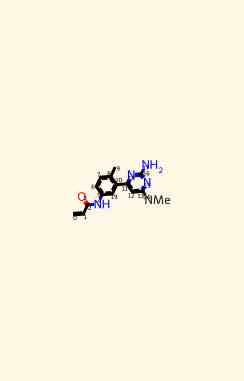 C=CC(=O)Nc1ccc(C)c(-c2cc(NC)nc(N)n2)c1